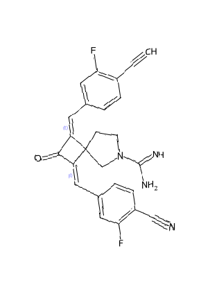 C#Cc1ccc(/C=C2/C(=O)/C(=C/c3ccc(C#N)c(F)c3)C23CCN(C(=N)N)C3)cc1F